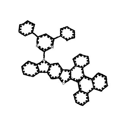 c1ccc(-c2cc(-c3ccccc3)nc(-n3c4ccccc4c4cc5oc6c(c5cc43)c3ccccc3c3c4ccccc4c4ccccc4c63)n2)cc1